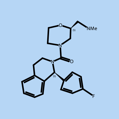 CNC[C@H]1CN(C(=O)N2CCc3ccccc3[C@@H]2c2ccc(F)cc2)CCO1